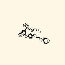 COCCn1cnnc1-c1cc(Oc2ccc(OCCOC3CCOCC3)cc2)n2cncc2c1